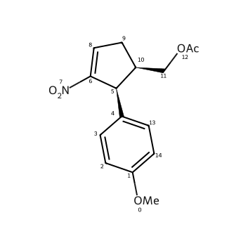 COc1ccc([C@H]2C([N+](=O)[O-])=CC[C@H]2COC(C)=O)cc1